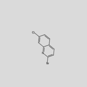 Clc1ccc2ccc(Br)nc2c1